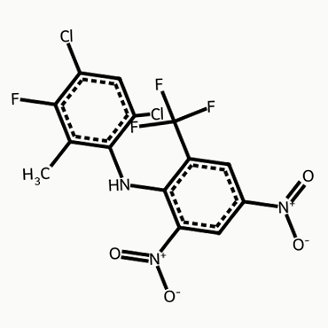 Cc1c(F)c(Cl)cc(Cl)c1Nc1c([N+](=O)[O-])cc([N+](=O)[O-])cc1C(F)(F)F